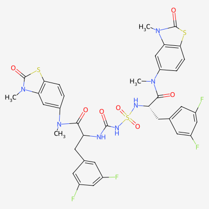 CN(C(=O)C(Cc1cc(F)cc(F)c1)NC(=O)NS(=O)(=O)N[C@@H](Cc1cc(F)cc(F)c1)C(=O)N(C)c1ccc2sc(=O)n(C)c2c1)c1ccc2sc(=O)n(C)c2c1